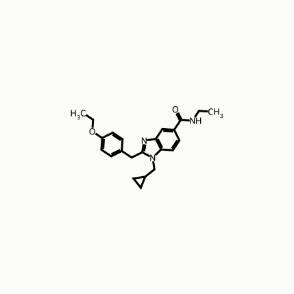 CCNC(=O)c1ccc2c(c1)nc(Cc1ccc(OCC)cc1)n2CC1CC1